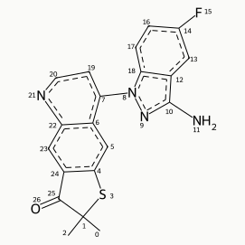 CC1(C)Sc2cc3c(-n4nc(N)c5cc(F)ccc54)ccnc3cc2C1=O